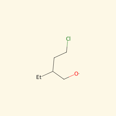 CCC(C[O])CCCl